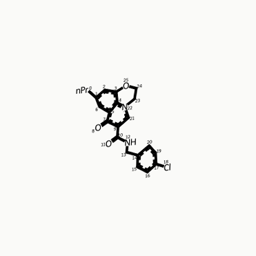 CCCc1cc2c3c(c1)c(=O)c(C(=O)NCc1ccc(Cl)cc1)cn3CCO2